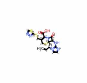 C=CCn1ccnc1NC1C(=O)N2C(C(=O)O)=C(CSc3nncs3)CS[C@@H]12